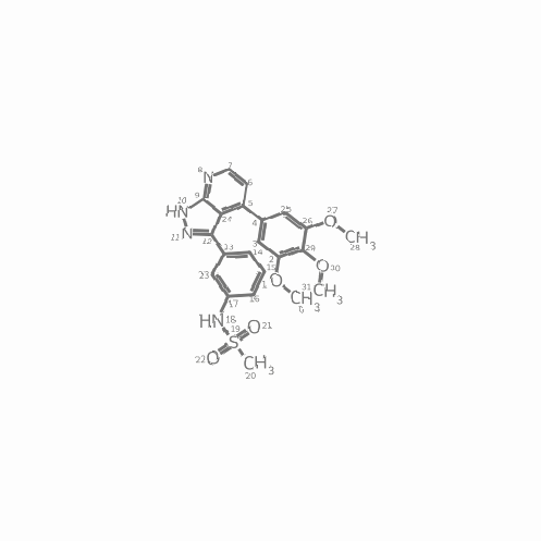 COc1cc(-c2ccnc3[nH]nc(-c4cccc(NS(C)(=O)=O)c4)c23)cc(OC)c1OC